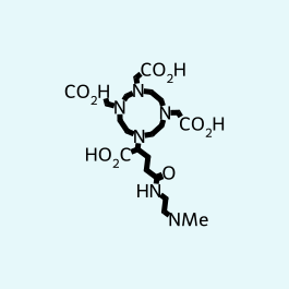 CNCCNC(=O)CCC(C(=O)O)N1CCN(CC(=O)O)CCN(CC(=O)O)CN(CC(=O)O)CC1